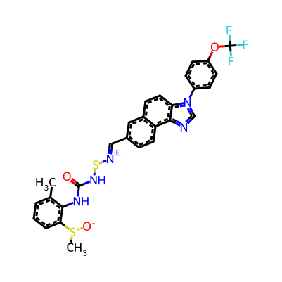 Cc1cccc([S+](C)[O-])c1NC(=O)NS/N=C/c1ccc2c(ccc3c2ncn3-c2ccc(OC(F)(F)F)cc2)c1